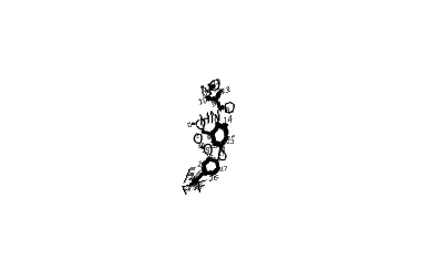 COC(=O)c1c(NC(=O)c2cnoc2)ccc(Oc2ccc(C(F)(F)F)cc2)c1OC